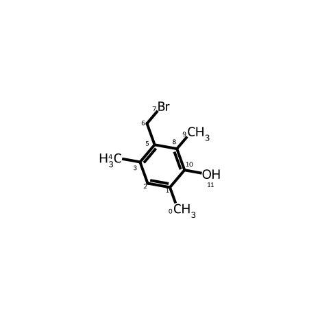 Cc1cc(C)c(CBr)c(C)c1O